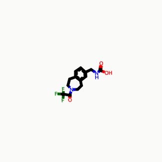 O=C(O)NCc1ccc2c(c1)CCN(C(=O)C(F)(F)F)CC2